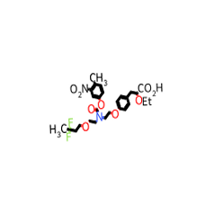 CCOC(Cc1ccc(OCCN(CCOCCC(C)(F)F)C(=O)Oc2ccc(C)c([N+](=O)[O-])c2)cc1)C(=O)O